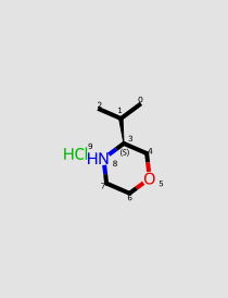 CC(C)[C@H]1COCCN1.Cl